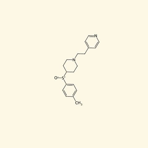 Cc1ccc([S+]([O-])C2CCN(CCc3ccncc3)CC2)cc1